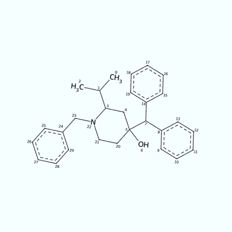 CC(C)C1CC(O)(C(c2ccccc2)c2ccccc2)CCN1Cc1ccccc1